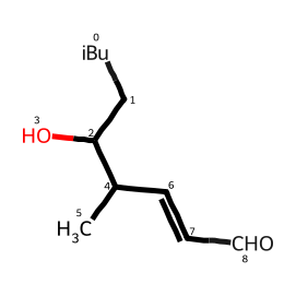 CCC(C)CC(O)C(C)C=CC=O